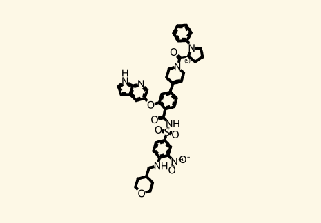 O=C(NS(=O)(=O)c1ccc(NCC2CCOCC2)c([N+](=O)[O-])c1)c1ccc(C2=CCN(C(=O)[C@@H]3CCCN3c3ccccc3)CC2)cc1Oc1cnc2[nH]ccc2c1